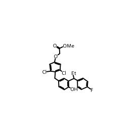 CCC(c1ccc(F)cc1)c1cc(Cc2c(Cl)cc(OCC(=O)OC)cc2Cl)ccc1O